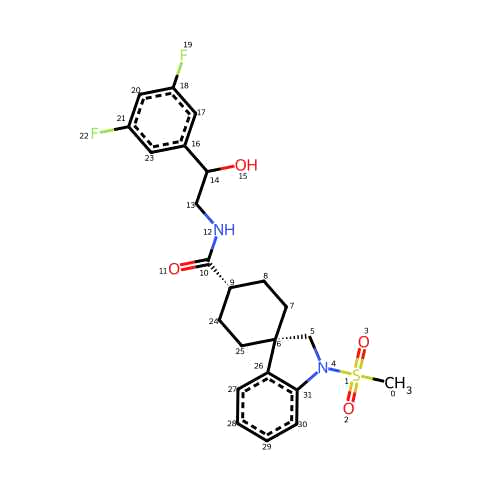 CS(=O)(=O)N1C[C@]2(CC[C@@H](C(=O)NCC(O)c3cc(F)cc(F)c3)CC2)c2ccccc21